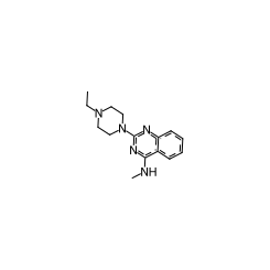 CCN1CCN(c2nc(NC)c3ccccc3n2)CC1